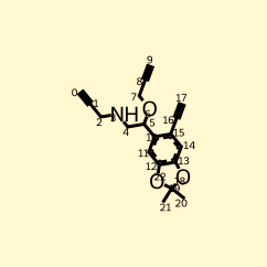 C#CCNCC(OCC#C)c1cc2c(cc1C#C)OC(C)(C)O2